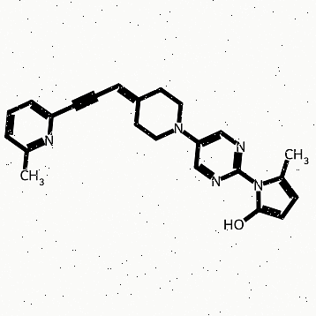 Cc1cccc(C#CC=C2CCN(c3cnc(-n4c(C)ccc4O)nc3)CC2)n1